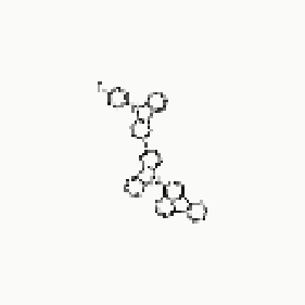 Fc1ccc(-n2c3ccccc3c3cc(-c4ccc5c(c4)c4ccccc4n5-c4ccc5c6c(cccc46)-c4ccccc4-5)ccc32)cc1